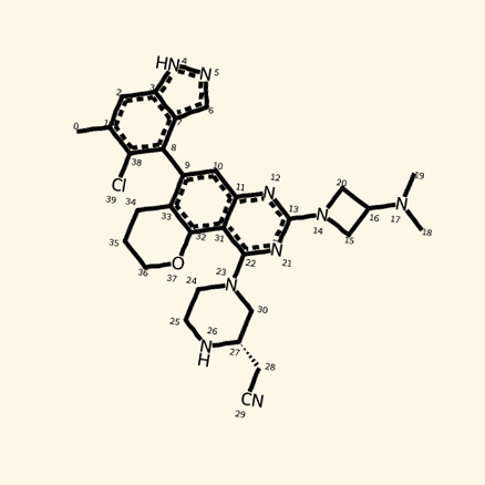 Cc1cc2[nH]ncc2c(-c2cc3nc(N4CC(N(C)C)C4)nc(N4CCN[C@@H](CC#N)C4)c3c3c2CCCO3)c1Cl